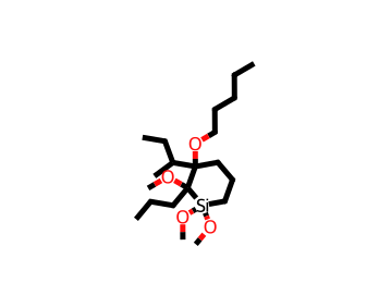 CCCCCOC1(C(C)CC)CCC[Si](OC)(OC)C1(CCC)OC